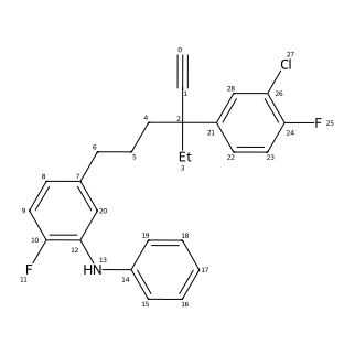 C#CC(CC)(CCCc1ccc(F)c(Nc2ccccc2)c1)c1ccc(F)c(Cl)c1